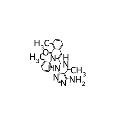 CC(=N)c1c(N)ncnc1NCc1cc2cccc(C)c2c(=O)n1-c1ccccc1C